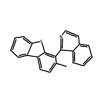 Cc1ccc2c(sc3ccccc32)c1-c1nccc2ccccc12